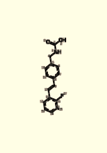 O=C(O)NCc1ccc(/C=C/c2cccnc2F)cc1